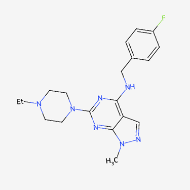 CCN1CCN(c2nc(NCc3ccc(F)cc3)c3cnn(C)c3n2)CC1